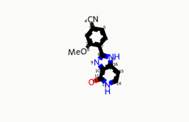 COc1cc(C#N)ccc1-c1nc2c(=O)[nH]ccc2[nH]1